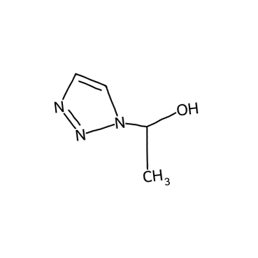 CC(O)n1ccnn1